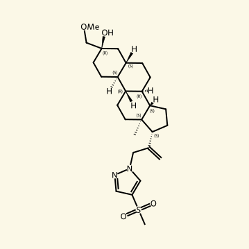 C=C(Cn1cc(S(C)(=O)=O)cn1)[C@H]1CC[C@H]2[C@@H]3CC[C@H]4C[C@@](O)(COC)CC[C@@H]4[C@H]3CC[C@]12C